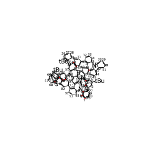 CC(C)(C)c1cc(-c2ccccc2)cc(N2c3ccc(-c4c(-c5ccc6sc7ccccc7c6c5)cccc4-n4c5ccccc5c5ccccc54)cc3B3c4ccc(C(C)(C)C)cc4N(c4ccc(-c5ccccc5)cc4)c4cc(-c5c(-c6ccc7c(c6)sc6ccc(C(C)(C)C)cc67)cccc5-n5c6ccccc6c6ccccc65)cc2c43)c1